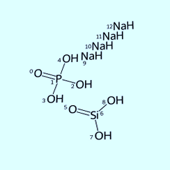 O=P(O)(O)O.O=[Si](O)O.[NaH].[NaH].[NaH].[NaH]